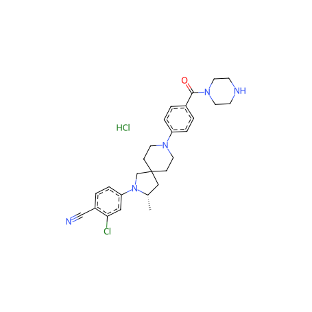 C[C@H]1CC2(CCN(c3ccc(C(=O)N4CCNCC4)cc3)CC2)CN1c1ccc(C#N)c(Cl)c1.Cl